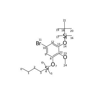 CCCC[Si](C)(C)Oc1cc(Br)cc(O[Si](C)(C)C(C)(C)C)c1OC